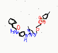 Cc1ccc(S(=O)(=O)OCCOCCN(C)c2cc(C)nc(Nc3ccc(NC(=O)Cc4ccccc4)cc3)n2)cc1